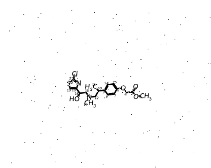 COC(=O)COc1ccc(C(C)CN(C)CC(O)c2csc(Cl)n2)cc1